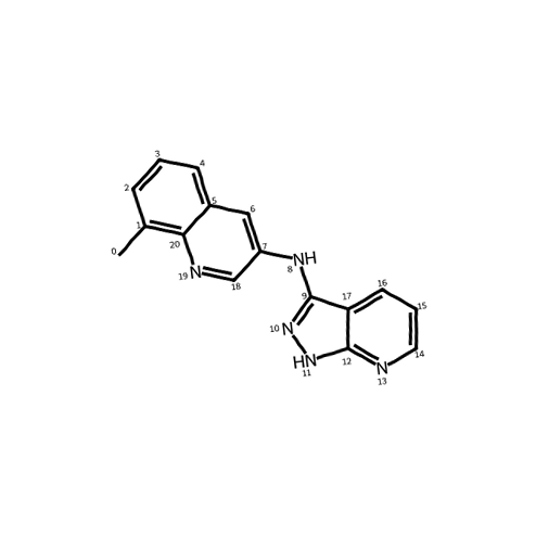 Cc1cccc2cc(Nc3n[nH]c4ncccc34)cnc12